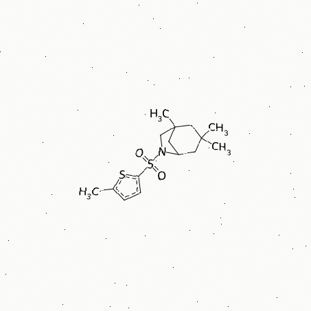 Cc1ccc(S(=O)(=O)N2CC3(C)CC2CC(C)(C)C3)s1